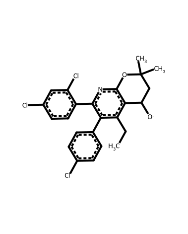 CCc1c(-c2ccc(Cl)cc2)c(-c2ccc(Cl)cc2Cl)nc2c1C([O])CC(C)(C)O2